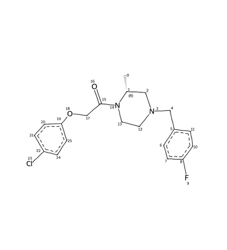 C[C@@H]1CN(Cc2ccc(F)cc2)CCN1C(=O)COc1ccc(Cl)cc1